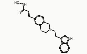 O=C(C=Cc1ccc2c(c1)CCN(CCc1c[nH]c3ccccc13)C2)NO